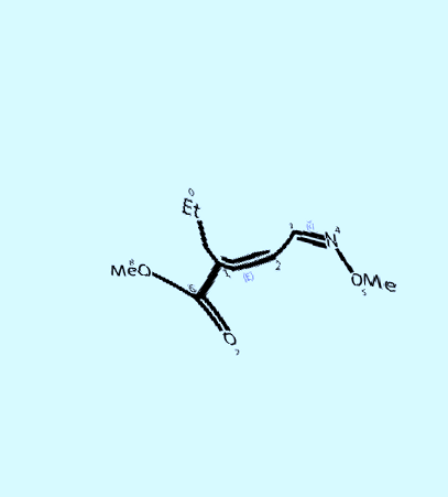 CC/C(=C\C=N/OC)C(=O)OC